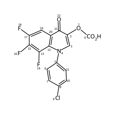 O=C(O)Oc1cn(-c2ccc(Cl)cc2)c2c(F)c(F)c(F)cc2c1=O